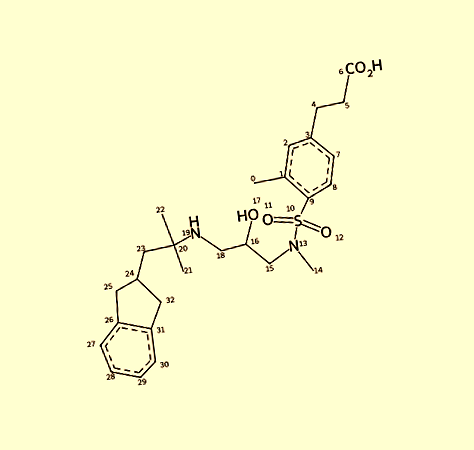 Cc1cc(CCC(=O)O)ccc1S(=O)(=O)N(C)CC(O)CNC(C)(C)CC1Cc2ccccc2C1